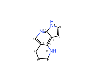 c1cc2c3c(cnc2[nH]1)CCCN3